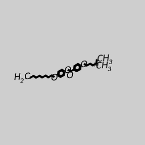 C=CCCCCCCCOc1ccc(OC(=O)c2ccc(OCCC[C@@H](C)CC)cc2)cc1